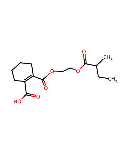 CCC(C)C(=O)OCCOC(=O)C1=C(C(=O)O)CCCC1